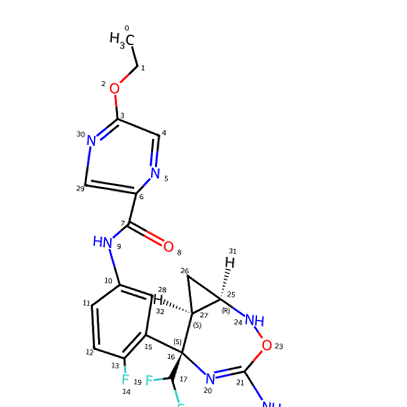 CCOc1cnc(C(=O)Nc2ccc(F)c([C@@]3(C(F)F)N=C(N)ON[C@@H]4C[C@@H]43)c2)cn1